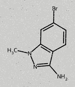 Cn1nc(N)c2ccc(Br)cc21